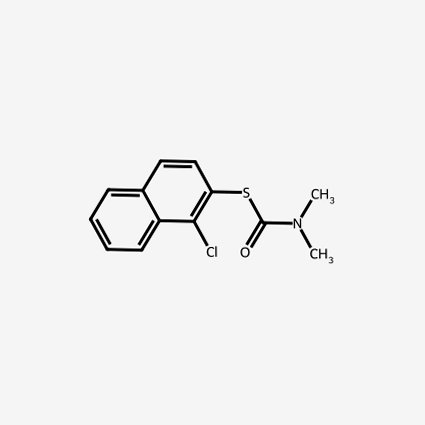 CN(C)C(=O)Sc1ccc2ccccc2c1Cl